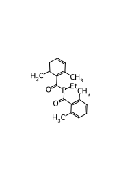 CCP(C(=O)c1c(C)cccc1C)C(=O)c1c(C)cccc1C